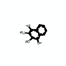 O=S(=O)(O)c1c(O)c(O)c2ccccc2c1O